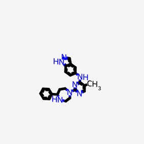 Cc1cnc(N2CCNC(c3ccccc3)CC2)nc1Nc1ccc2[nH]ncc2c1